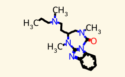 CCCN(C)CCC1CN(C)C(=O)n2c(nc3ccccc32)N1C